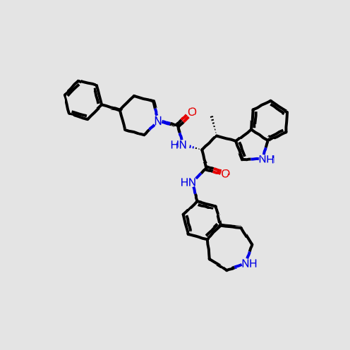 C[C@H](c1c[nH]c2ccccc12)[C@@H](NC(=O)N1CCC(c2ccccc2)CC1)C(=O)Nc1ccc2c(c1)CCNCC2